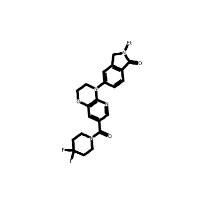 CCN1Cc2cc(N3CCOc4cc(C(=O)N5CCC(F)(F)CC5)cnc43)ccc2C1=O